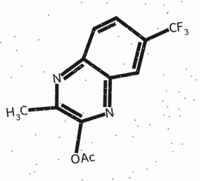 CC(=O)Oc1nc2cc(C(F)(F)F)ccc2nc1C